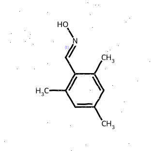 Cc1cc(C)c(/C=N/O)c(C)c1